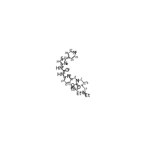 CCN(CC)CCC(C)CN(Cc1cccc(NC(=O)Nc2csc(-c3ccncc3)n2)n1)C(=O)OC(C)(C)C